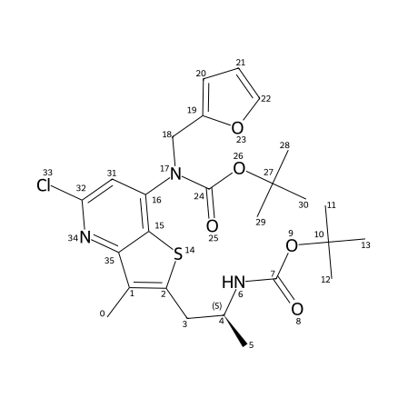 Cc1c(C[C@H](C)NC(=O)OC(C)(C)C)sc2c(N(Cc3ccco3)C(=O)OC(C)(C)C)cc(Cl)nc12